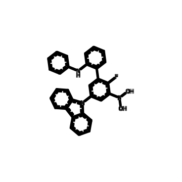 OB(O)c1cc(-n2c3ccccc3c3ccccc32)cc(-c2ccccc2Nc2ccccc2)c1F